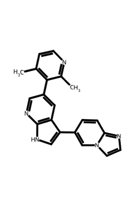 Cc1ccnc(C)c1-c1cnc2[nH]cc(-c3ccc4nccn4c3)c2c1